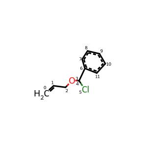 C=CCOC(Cl)c1ccccc1